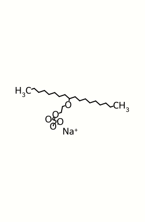 CCCCCCCCCC(CCCCCCCC)OCCOS(=O)(=O)[O-].[Na+]